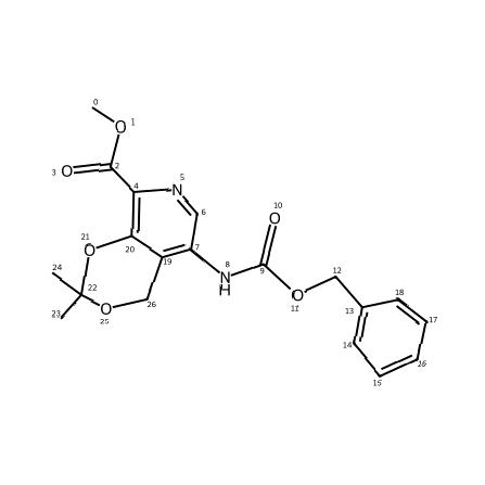 COC(=O)c1ncc(NC(=O)OCc2ccccc2)c2c1OC(C)(C)OC2